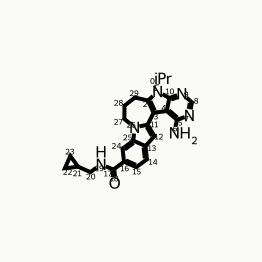 CC(C)n1c2c(c3c(N)ncnc31)-c1cc3ccc(C(=O)NCC4CC4)cc3n1CCC2